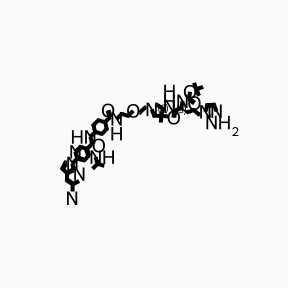 CC(C)Nc1cc(-n2ccc3cc(C#N)cnc32)ncc1C(=O)NC1CCC(C(=O)NCCOCCN2C[C@@H](NC(=O)[C@H](CCCn3ccnc3N)NC(=O)OC(C)(C)C)C(C)(C)C2)CC1